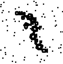 COC(=O)c1ccc2nc(Oc3ccc(-c4cccc(OCc5ccc(C#N)cc5F)n4)cc3F)n(CC3CCO3)c2c1